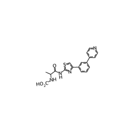 CC(NC(=O)O)C(=O)Nc1nc(-c2cccc(-c3ccncc3)c2)cs1